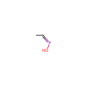 C/C=P\O